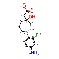 Nc1ccc(N2CCC[C@](O)(CC(=O)O)CC2)c(F)c1